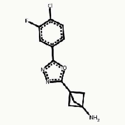 NC12CC(c3nnc(-c4ccc(Cl)c(F)c4)o3)(C1)C2